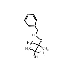 CC(C)(O)C(C)(C)OBCc1ccccc1